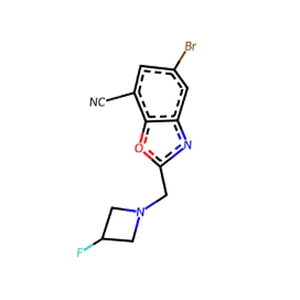 N#Cc1cc(Br)cc2nc(CN3CC(F)C3)oc12